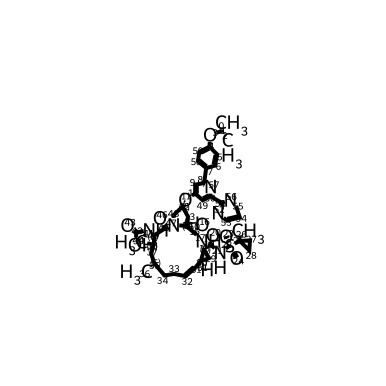 CC(C)Oc1ccc(-c2cc(O[C@@H]3C[C@H]4C(=O)N[C@]5(C(=O)NS(=O)(=O)C6(C)CC6)C[C@H]5C=CCC[C@H](C)C[C@@H](C)[C@H](NC(=O)O)C(=O)N4C3)cc(-c3ncccn3)n2)cc1